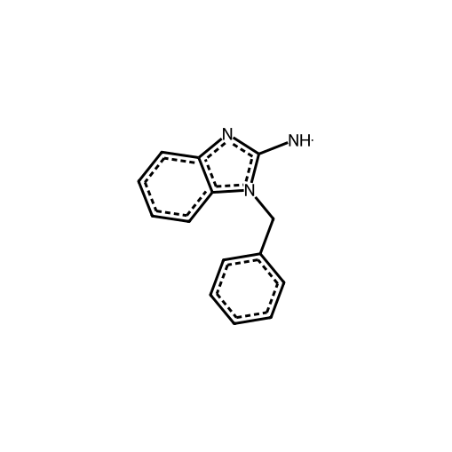 [NH]c1nc2ccccc2n1Cc1ccccc1